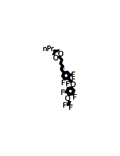 CCCC1COC(CC/C=C/c2cc(F)c(C(F)(F)Oc3cc(F)c(OC=C(F)F)c(F)c3)c(F)c2)OC1